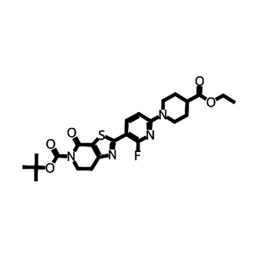 CCOC(=O)C1CCN(c2ccc(-c3nc4c(s3)C(=O)N(C(=O)OC(C)(C)C)CC4)c(F)n2)CC1